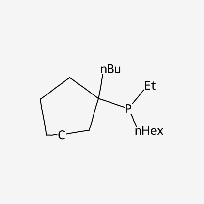 CCCCCCP(CC)C1(CCCC)CCCCC1